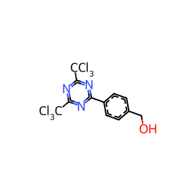 OCc1ccc(-c2nc(C(Cl)(Cl)Cl)nc(C(Cl)(Cl)Cl)n2)cc1